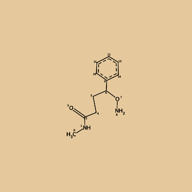 CNC(=O)CCC(ON)c1ccccc1